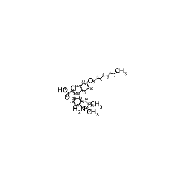 CCCCCCCCOc1ccc(C2C(=C(Cl)C(=O)O)c3ccc(N)c(CC(C)CC)c32)cc1